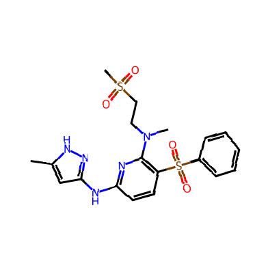 Cc1cc(Nc2ccc(S(=O)(=O)c3ccccc3)c(N(C)CCS(C)(=O)=O)n2)n[nH]1